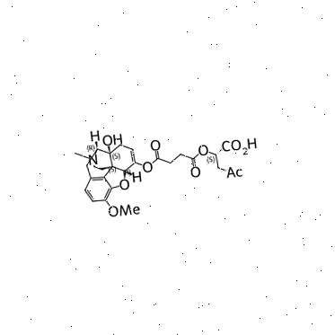 COc1ccc2c3c1O[C@H]1C(OC(=O)CCC(=O)O[C@@H](CC(C)=O)C(=O)O)=CC[C@@]4(O)[C@@H](C2)N(C)CC[C@]314